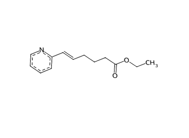 CCOC(=O)CCCC=Cc1ccccn1